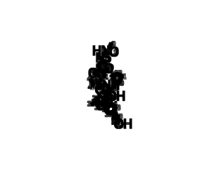 CC(=O)Nc1nc(CN2C(=O)CN([C@H](C(=O)N[C@@H](Cc3ccccc3)[C@@H](O)CN(CC(C)C)S(=O)(=O)c3ccc(C=NO)cc3)C(C)C)C2=O)cs1